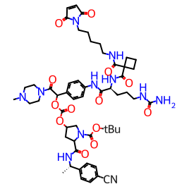 C[C@H](NC(=O)C1CC(OC(=O)OC(C(=O)N2CCN(C)CC2)c2ccc(NC(=O)[C@H](CCCNC(N)=O)NC(=O)C3(C(=O)NCCCCCN4C(=O)C=CC4=O)CCC3)cc2)CN1C(=O)OC(C)(C)C)c1ccc(C#N)cc1